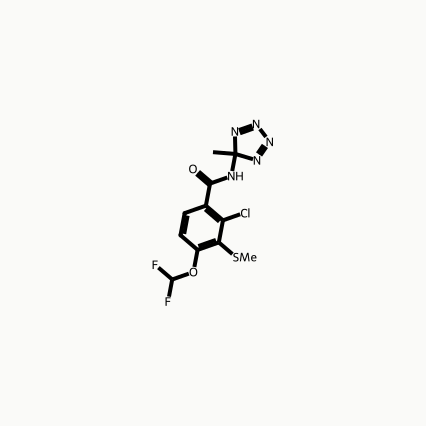 CSc1c(OC(F)F)ccc(C(=O)NC2(C)N=NN=N2)c1Cl